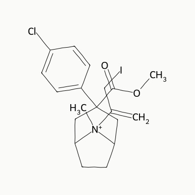 C=C(CI)[N+]1(C)C2CCC1CC(C(=O)OC)(c1ccc(Cl)cc1)C2